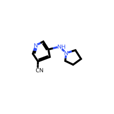 N#Cc1cncc(NN2CCCC2)c1